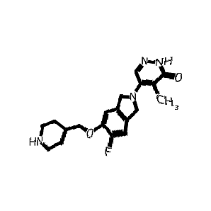 Cc1c(N2Cc3cc(F)c(OCC4CCNCC4)cc3C2)cn[nH]c1=O